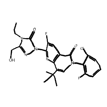 CCn1c(CO)nn(-c2nc3c(C(C)(C)C)cn(-c4c(F)cccc4Cl)c(=O)c3cc2F)c1=O